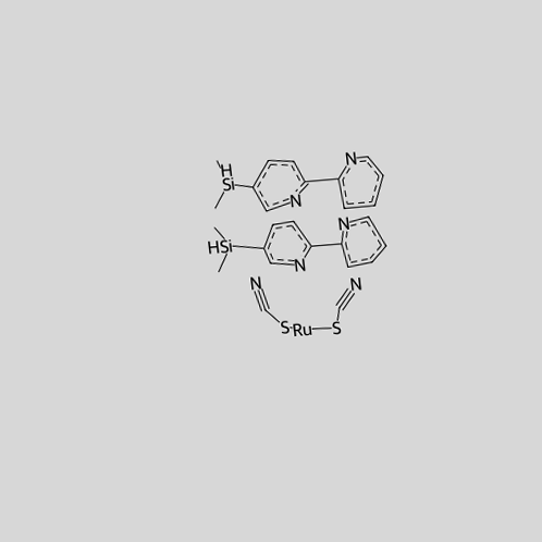 C[SiH](C)c1ccc(-c2ccccn2)nc1.C[SiH](C)c1ccc(-c2ccccn2)nc1.N#C[S][Ru][S]C#N